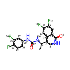 CC(c1c[nH]c(=O)c2cc(F)c(F)cc12)N(C)C(=O)Nc1ccc(F)c(F)c1